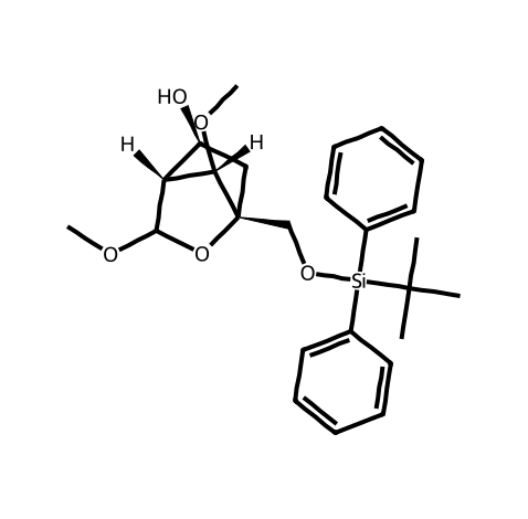 COC1O[C@@]2(CO[Si](c3ccccc3)(c3ccccc3)C(C)(C)C)C[C@H](O)[C@@H]1[C@@H]2OC